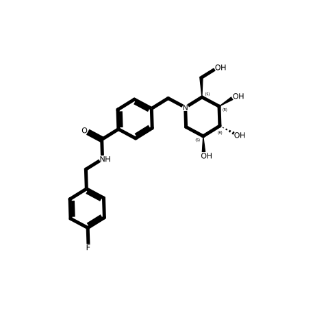 O=C(NCc1ccc(F)cc1)c1ccc(CN2C[C@H](O)[C@@H](O)[C@H](O)[C@@H]2CO)cc1